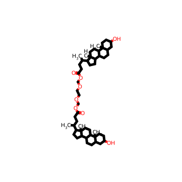 CC(CCC(=O)OCOCCOCOC(=O)CCC(C)C1CCC2C3CCC4CC(O)CCC4(C)C3CCC12C)C1CCC2C3CCC4CC(O)CCC4(C)C3CCC12C